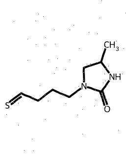 CC1CN(CCCC=S)C(=O)N1